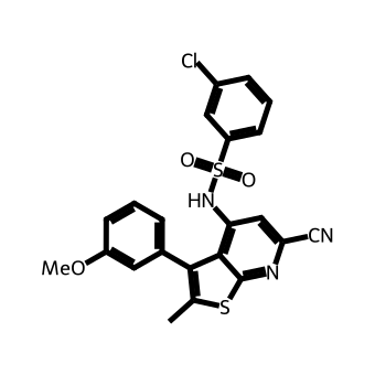 COc1cccc(-c2c(C)sc3nc(C#N)cc(NS(=O)(=O)c4cccc(Cl)c4)c23)c1